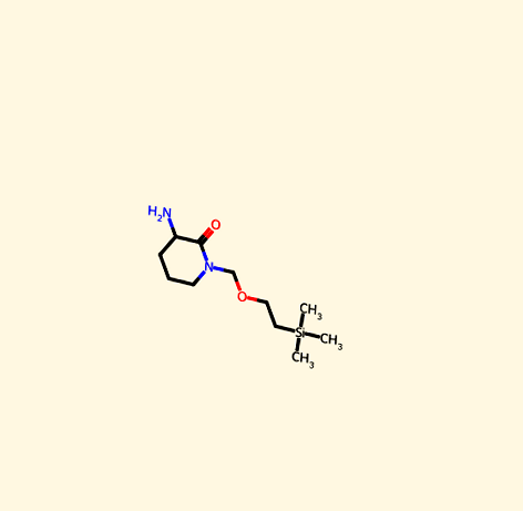 C[Si](C)(C)CCOCN1CCCC(N)C1=O